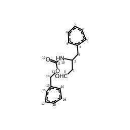 O=CCC(Cc1ccccc1)NC(=O)OCc1ccccc1